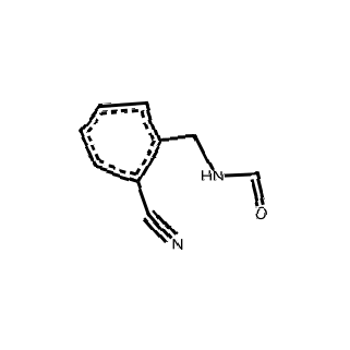 N#Cc1ccccc1CNC=O